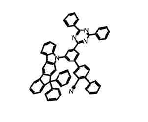 N#Cc1cc(-c2cc(-c3nc(-c4ccccc4)nc(-c4ccccc4)n3)cc(-n3c4ccccc4c4cc5c(cc43)C(c3ccccc3)(c3ccccc3)c3ccccc3-5)c2)ccc1-c1ccccc1